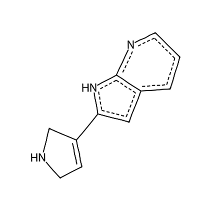 C1=C(c2cc3cccnc3[nH]2)CNC1